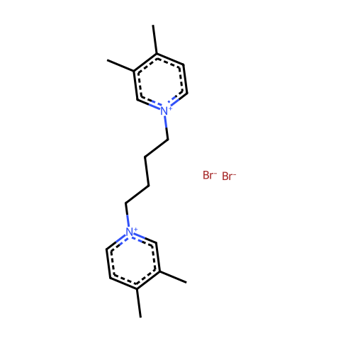 Cc1cc[n+](CCCC[n+]2ccc(C)c(C)c2)cc1C.[Br-].[Br-]